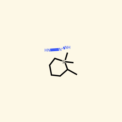 CC1CCCC[Si]1(C)C.N=[N+]=N